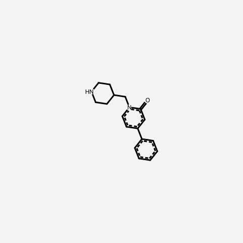 O=c1cc(-c2ccccc2)ccn1CC1CCNCC1